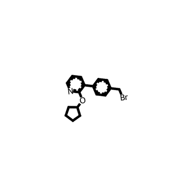 BrCc1ccc(-c2cccnc2OC2CCCC2)cc1